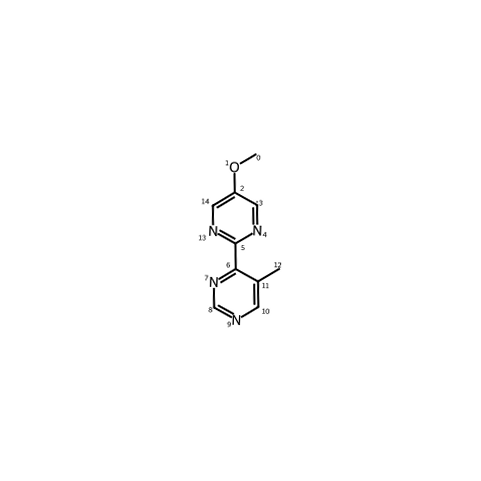 COc1[c]nc(-c2ncncc2C)nc1